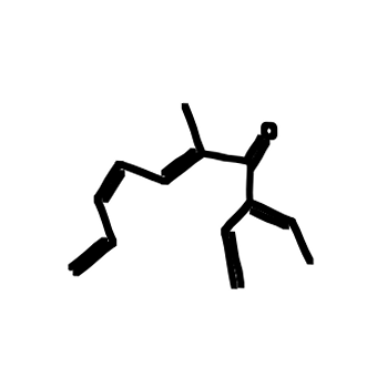 C=C/C=C\C=C(/C)C(=O)/C(C=C)=C/C